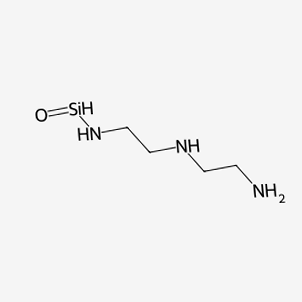 NCCNCCN[SiH]=O